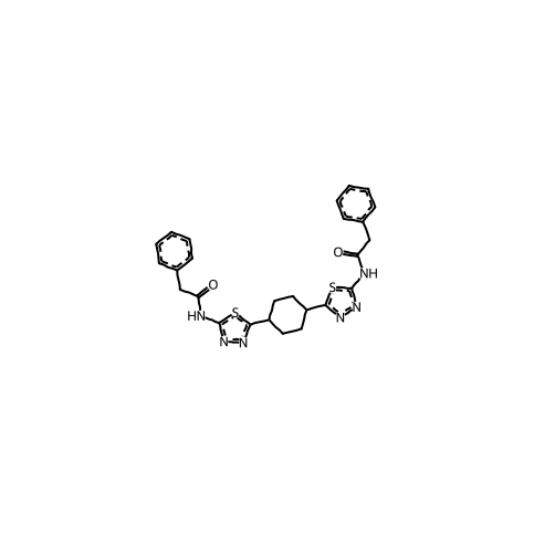 O=C(Cc1ccccc1)Nc1nnc(C2CCC(c3nnc(NC(=O)Cc4ccccc4)s3)CC2)s1